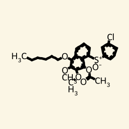 CCCCCCOc1c(OC)c(OC)c(OC(C)=O)c2c([S+]([O-])c3cccc(Cl)c3)cccc12